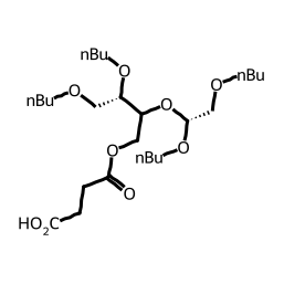 CCCCOC[C@H](OCCCC)OC(COC(=O)CCC(=O)O)[C@H](COCCCC)OCCCC